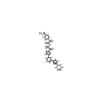 Nc1ccc(C(=O)NCC(=O)Nc2nc(-c3cccc(-c4ccn(C5CCOCC5)n4)c3)cs2)cc1